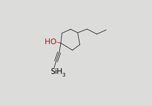 CCCC1CCC(O)(C#C[SiH3])CC1